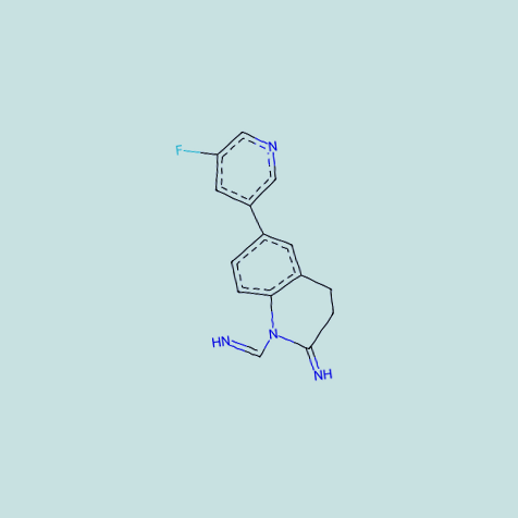 N=CN1C(=N)CCc2cc(-c3cncc(F)c3)ccc21